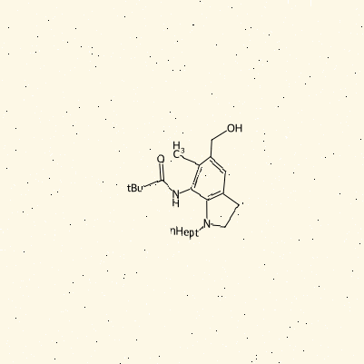 CCCCCCCN1CCc2cc(CO)c(C)c(NC(=O)C(C)(C)C)c21